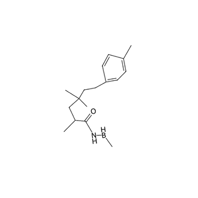 CBNC(=O)C(C)CC(C)(C)CCc1ccc(C)cc1